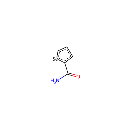 NC(=O)c1ccc[se]1